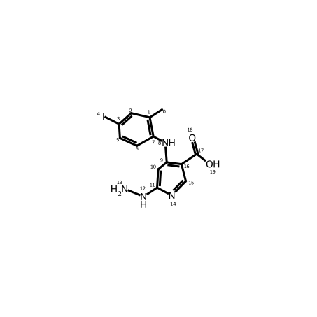 Cc1cc(I)ccc1Nc1cc(NN)ncc1C(=O)O